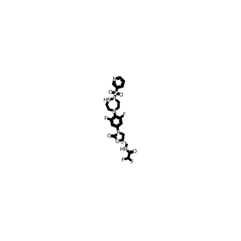 O=C(NC[C@H]1CN(c2cc(F)c(N3CCNN(S(=O)(=O)c4cccnc4)CC3)c(F)c2)C(=O)O1)C(F)F